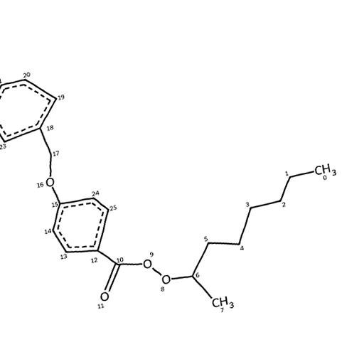 CCCCCCC(C)OOC(=O)c1ccc(OCc2ccccc2)cc1